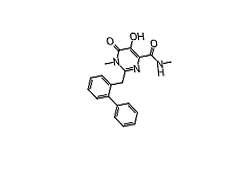 CNC(=O)c1nc(Cc2ccccc2-c2ccccc2)n(C)c(=O)c1O